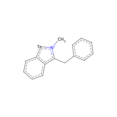 C[n+]1[te]c2ccccc2c1Cc1ccccc1